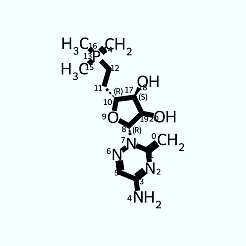 C=C1N=C(N)C=NN1[C@@H]1O[C@H](CCP(=C)(C)C)[C@@H](O)C1O